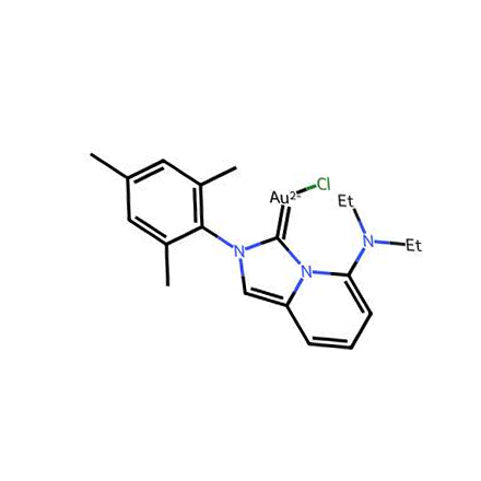 CCN(CC)c1cccc2cn(-c3c(C)cc(C)cc3C)[c](=[Au-2][Cl])n12